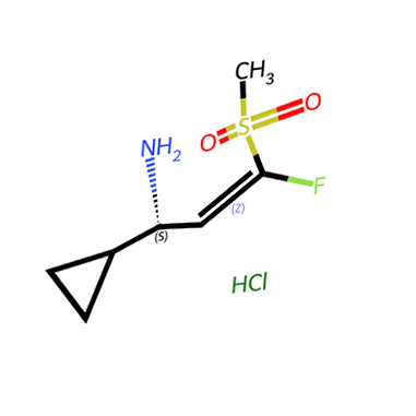 CS(=O)(=O)/C(F)=C\[C@@H](N)C1CC1.Cl